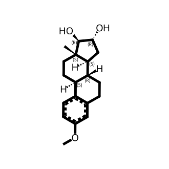 COc1ccc2c(c1)CC[C@@H]1[C@@H]2CC[C@]2(C)[C@@H](O)[C@H](O)C[C@@H]12